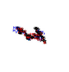 CCc1cc(OC)ccc1-c1ccc(C[C@H](NC(=O)[C@H](CC(=O)O)CC(=O)[C@H](CO)NC(=O)[C@@H](CC(=O)C(C)(Cc2ccccc2F)NC(=O)[C@@H](CC(=O)CNC(=O)[C@H](CCC(=O)O)CC(=O)C2(C)CCCN2C(=O)[C@@H](N)Cc2c[nH]cn2)[C@@H](C)O)[C@@H](C)O)C(=O)C[C@@H](Cc2ccc(-c3ccccc3C)nc2)C(N)=O)cc1